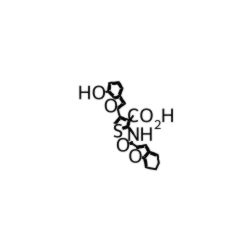 O=C(Nc1scc(-c2cc3cccc(O)c3o2)c1C(=O)O)c1cc2c(o1)=CCCC=2